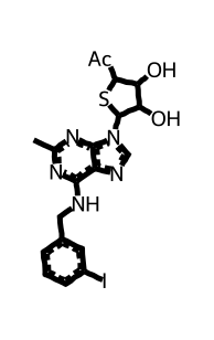 CC(=O)C1SC(n2cnc3c(NCc4cccc(I)c4)nc(C)nc32)C(O)C1O